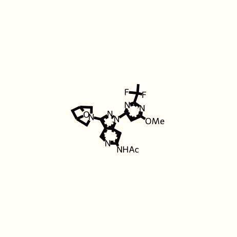 COc1cc(-n2nc(N3CC4CC(C3)O4)c3cnc(NC(C)=O)cc32)nc(C(C)(F)F)n1